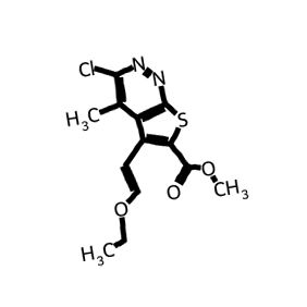 CCO/C=C/c1c(C(=O)OC)sc2nnc(Cl)c(C)c12